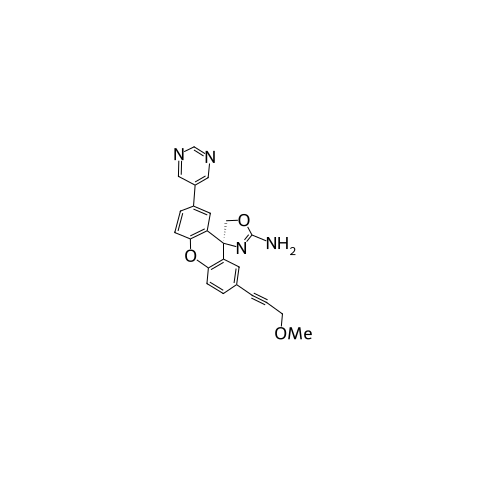 COCC#Cc1ccc2c(c1)[C@@]1(COC(N)=N1)c1cc(-c3cncnc3)ccc1O2